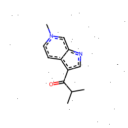 CC(C)C(=O)c1cnc2cn(C)ccc1-2